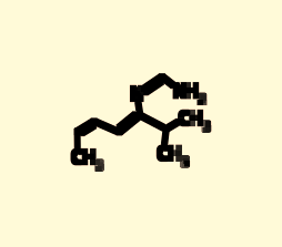 C\C=C/C=C(\N=C/N)C(C)C